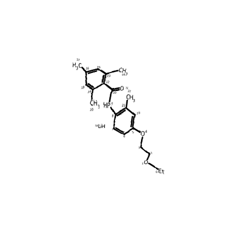 CCOCCOc1ccc(PC(=O)c2c(C)cc(C)cc2C)c(C)c1.[LiH]